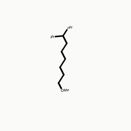 CCCC(CCCCCCOC)C(C)C